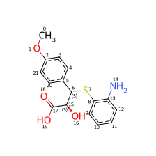 COc1ccc([C@H](Sc2ccccc2N)[C@@H](O)C(=O)O)cc1